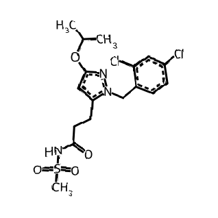 CC(C)Oc1cc(CCC(=O)NS(C)(=O)=O)n(Cc2ccc(Cl)cc2Cl)n1